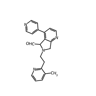 Cc1cccnc1CCN1Cc2nccc(-c3ccncc3)c2C1C=O